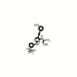 C[C@H](CO)Nc1nc(Nc2cccc(S(C)(=N)=O)c2)ncc1C#Cc1cccc(O)c1